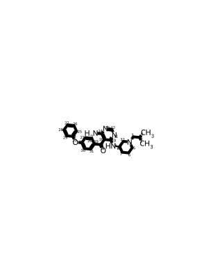 C[C](C)CN1CCC[C@@H](Nc2ncnc(N)c2C(=O)c2ccc(Oc3ccccc3)cc2)C1